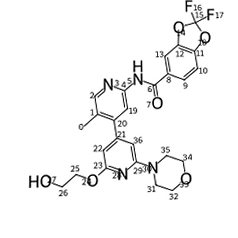 Cc1cnc(NC(=O)c2ccc3c(c2)OC(F)(F)O3)cc1-c1cc(OCCO)nc(N2CCOCC2)c1